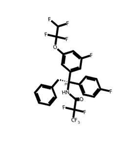 O=C(N[C@](Cc1ccccc1)(c1ccc(F)cc1)c1cc(F)cc(OC(F)(F)C(F)F)c1)C(F)(F)C(F)(F)F